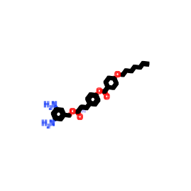 C=CCCCCCOC1CCC(C(=O)Oc2ccc(/C=C/C(=O)OCc3cc(N)cc(N)c3)cc2)CC1